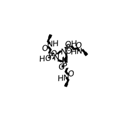 C#CCNC(=O)CC[PH](=O)CN1CCN(CP(=O)(O)CCC(=O)NCC#C)CCN(CP(=O)(O)CCC(=O)NCC#C)CC1